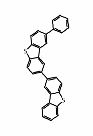 c1ccc(-c2ccc3sc4ccc(-c5ccc6sc7ccccc7c6c5)cc4c3c2)cc1